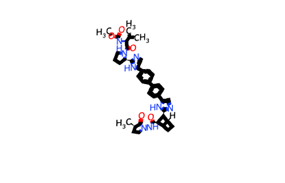 COC(=O)N[C@H](C(=O)N1CCC[C@H]1c1ncc(-c2ccc(-c3ccc(-c4cnc([C@H]5[C@H](C(=O)NN6CC[C@H](C)C6=O)C6CC[C@@H]65)[nH]4)cc3)cc2)[nH]1)C(C)C